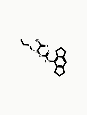 CCOC[C@@H](OC(=O)Nc1c2c(cc3c1CCC3)CCC2)C(=O)O